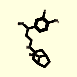 CCOC(=O)N1C2CCC1CC(NCCN(C=O)c1ccc(C)c(F)c1)C2